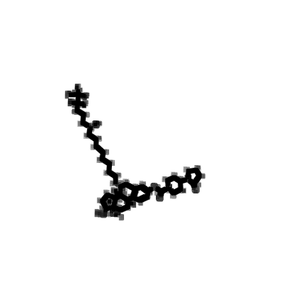 C[C@]12CC[C@@H]3c4ccc(OC(=O)N5CCC(N6CCCC6=O)CC5)cc4C[C@@H](CCCCCCCCC[S+]([O-])CCCC(F)(F)C(F)(F)F)[C@H]3[C@@H]1CC[C@@H]2O